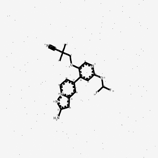 CC(C)(C#N)COc1cnc(OC(F)F)cc1-c1ccn2nc(N)cc2c1